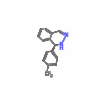 FC(F)(F)c1ccc([C@@H]2NN=Cc3ccccc32)cc1